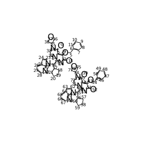 O=C1c2c(OCc3ccccc3)c(=O)nc(C(C3CCCC3)n3ccc4cccnc43)n2CCN1C1COC1.O=C1c2c(OCc3ccccc3)c(=O)nc(C(C3CCCC3)n3ccc4cccnc43)n2CCN1C1COC1